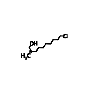 C[C@H](CO)CCCCCCCCCl